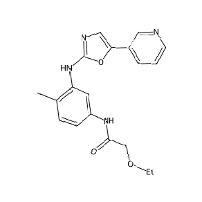 CCOCC(=O)Nc1ccc(C)c(Nc2ncc(-c3cccnc3)o2)c1